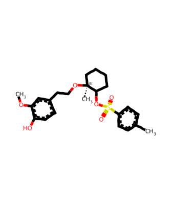 COc1cc(CCO[C@@]2(C)CCCCC2OS(=O)(=O)c2ccc(C)cc2)ccc1O